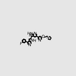 Fc1cccc(-c2cncc3[nH]c(-c4n[nH]c5ncc(-c6cncc(OCCN7CCCC7)c6)cc45)cc23)c1